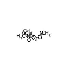 COc1cccc(-c2ccc(C(=O)NCC(C)(C)OC)cn2)c1